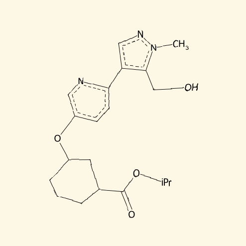 CC(C)OC(=O)C1CCCC(Oc2ccc(-c3cnn(C)c3CO)nc2)C1